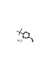 C=Cc1ccc(C(C)(C)C)cc1.S